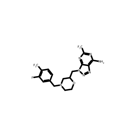 Nc1nc(C(F)(F)F)nc2c1nnn2CC1CN(Cc2ccc(C(F)(F)F)c(F)c2)CCO1